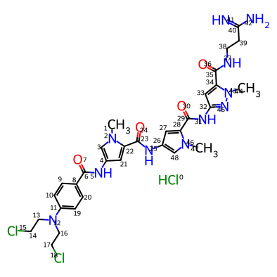 Cl.Cn1cc(NC(=O)c2ccc(N(CCCl)CCCl)cc2)cc1C(=O)Nc1cc(C(=O)Nc2cc(C(=O)NCCC(=N)N)n(C)n2)n(C)c1